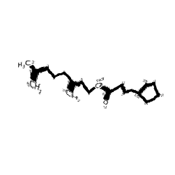 C=C(C)CCCC(=C)CCOC(=O)CCC1CCCC1